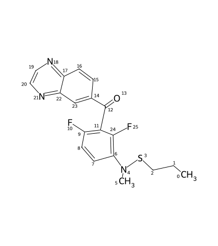 CCCSN(C)c1ccc(F)c(C(=O)c2ccc3nccnc3c2)c1F